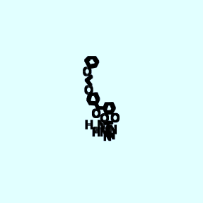 NC1(c2nnn[nH]2)COc2cccc(C(=O)c3ccc(OCCCOc4ccccc4)cc3)c2O1